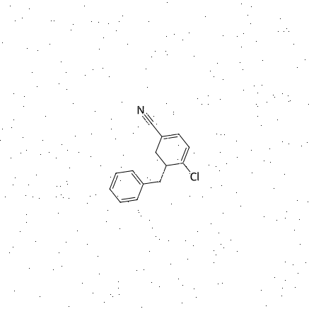 N#CC1=CC=C(Cl)C(Cc2ccccc2)C1